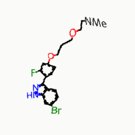 CNCCOCCCOc1ccc(-c2n[nH]c3cc(Br)ccc23)c(F)c1